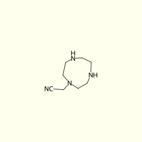 N#CCN1CCNCCNCC1